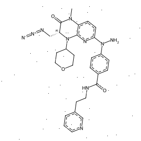 CN1C(=O)[C@@H](CN=[N+]=[N-])N(C2CCOCC2)c2nc(N(N)c3ccc(C(=O)NCCc4cccnc4)cc3)ccc21